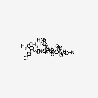 CC1(C)CCC(CN2CCN(c3ccc(C(=O)NS(=O)(=O)c4ccc(NC(=O)N5CCC(C#N)CC5)c([N+](=O)[O-])c4)c(Oc4cnc5[nH]ccc5c4)c3)CC2)=C(c2ccc(Cl)cc2)C1